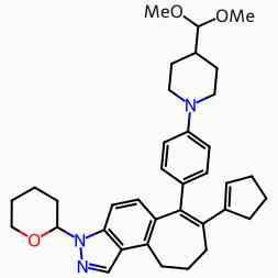 COC(OC)C1CCN(c2ccc(C3=C(C4=CCCC4)CCCc4c3ccc3c4cnn3C3CCCCO3)cc2)CC1